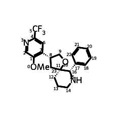 COc1cnc(C(F)(F)F)cc1[C@@H]1CO[C@]2(CCCN[C@H]2c2ccccc2)C1